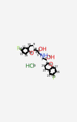 Cl.OC(CNC[C@H](O)[C@H]1CCc2cc(F)ccc2O1)[C@H]1CCc2cc(F)ccc2O1